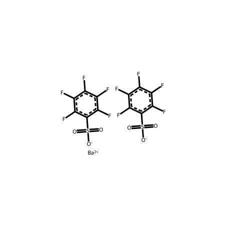 O=S(=O)([O-])c1c(F)c(F)c(F)c(F)c1F.O=S(=O)([O-])c1c(F)c(F)c(F)c(F)c1F.[Ba+2]